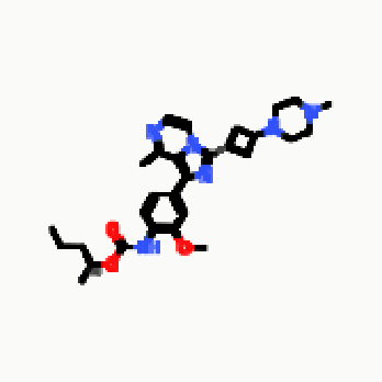 CCC[C@H](C)OC(=O)Nc1ccc(-c2nc([C@H]3C[C@H](N4CCN(C)CC4)C3)n3ccnc(C)c23)cc1OC